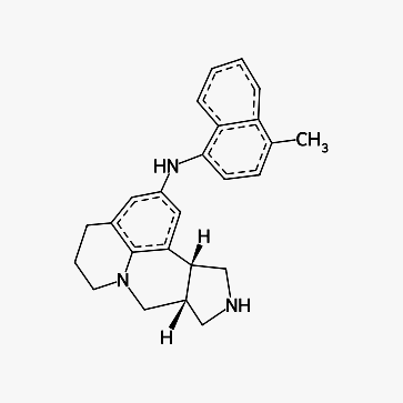 Cc1ccc(Nc2cc3c4c(c2)[C@@H]2CNC[C@@H]2CN4CCC3)c2ccccc12